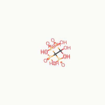 O=P(O)(O)C(O)(O)C(P(=O)(O)O)(P(=O)(O)O)P(=O)(O)O